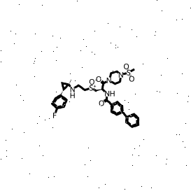 C[C@@]1(NCC[S+]([O-])C[C@H](NC(=O)c2ccc(-c3ccccc3)cc2)C(=O)N2CCN(S(C)(=O)=O)CC2)C[C@H]1c1ccc(F)cc1